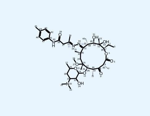 CC[C@H]1OC(=O)[C@H](C)C(=O)[C@H](C)[C@@H](OC2OC(C)CC(N(C)C)C2O)[C@](C)(OC)C[C@@H](C)/C(=N\N=C(/C)CC(=O)Nc2ccc(C)cc2)[C@H](C)[C@@H](O)[C@]1(C)O